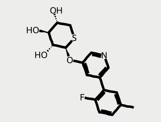 Cc1ccc(F)c(-c2cncc(O[C@@H]3SC[C@@H](O)[C@H](O)[C@H]3O)c2)c1